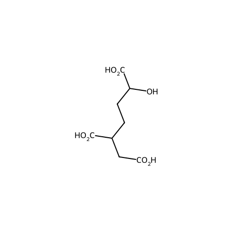 O=C(O)CC(CCC(O)C(=O)O)C(=O)O